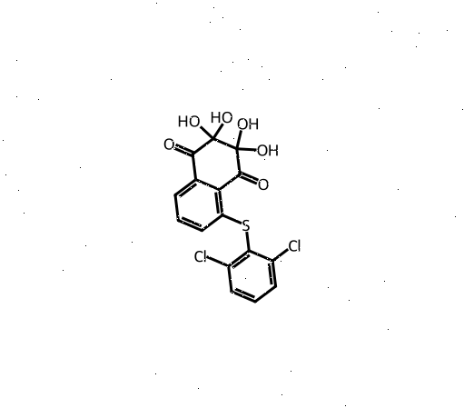 O=C1c2cccc(Sc3c(Cl)cccc3Cl)c2C(=O)C(O)(O)C1(O)O